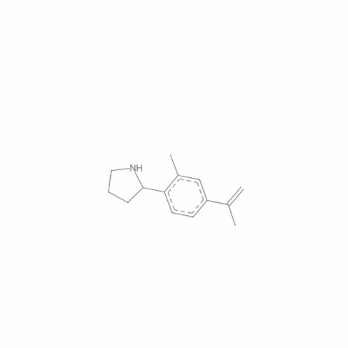 C=C(C)c1ccc(C2CCCN2)c(C)c1